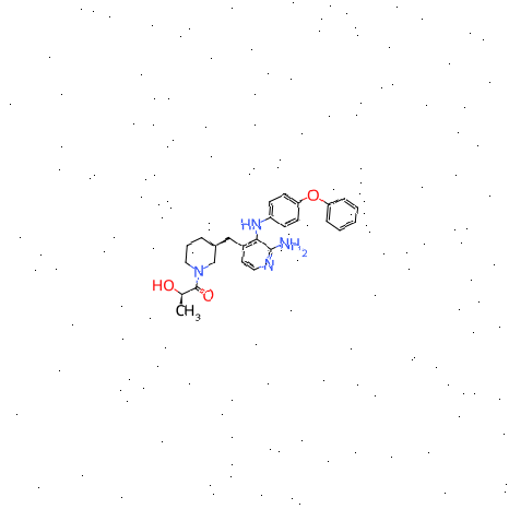 C[C@@H](O)C(=O)N1CCC[C@@H](Cc2ccnc(N)c2Nc2ccc(Oc3ccccc3)cc2)C1